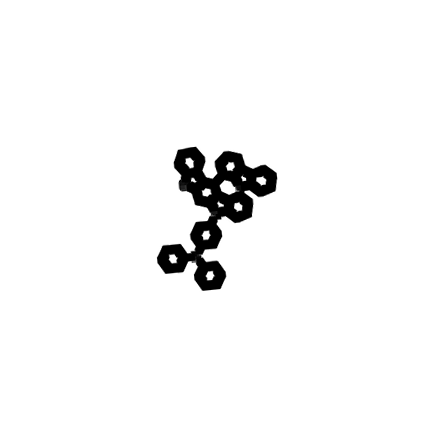 c1ccc(N(c2ccccc2)c2ccc(-n3c4ccccc4c4c(-c5cccc6c5sc5ccccc56)c5c(cc43)oc3ccccc35)cc2)cc1